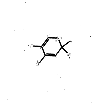 CC1(Br)C=C(Cl)C(F)=CN1